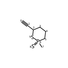 C#CC1CCCP(C)(=S)S1